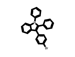 Brc1ccc(-c2c(-c3ccccc3)n(-c3ccccc3)c3ccccc23)cc1